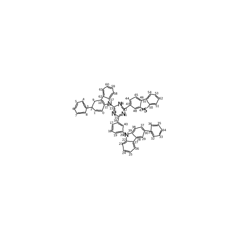 C1=CC(c2ccccc2)Cc2c1n(-c1nc(-c3cccc(-n4c5ccccc5c5cc(-c6ccccc6)ccc54)c3)nc(-c3ccc4c(c3)sc3ccccc34)n1)c1ccccc21